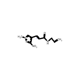 C=CCNC(=O)/C=C/c1cn(C)nc1[N+](=O)[O-]